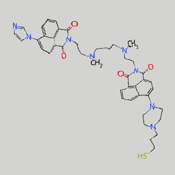 CN(CCCN(C)CCN1C(=O)c2cccc3c(-n4ccnc4)ccc(c23)C1=O)CCN1C(=O)c2cccc3c(N4CCN(CCCS)CC4)ccc(c23)C1=O